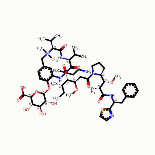 CC[C@H](C)[C@@H]([C@@H](CC(=O)N1CCC[C@H]1[C@H](OC)[C@@H](C)C(=O)N[C@@H](Cc1ccccc1)c1nccs1)OC)N(C)C(=O)[C@@H](NC(=O)[C@H](C(C)C)[N+](C)(C)Cc1ccc(O[C@@H]2O[C@H](C(=O)O)[C@@H](O)[C@H](O)[C@H]2O)c(NC(=O)CCN)c1)C(C)C